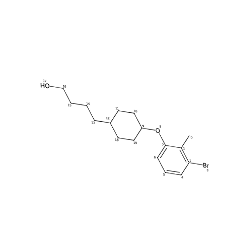 Cc1c(Br)cccc1OC1CCC(CCCCO)CC1